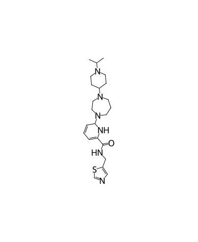 CC(C)N1CCC(N2CCCN(C3C=CC=C(C(=O)NCc4cncs4)N3)CC2)CC1